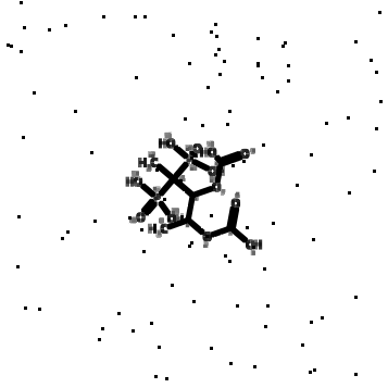 CC(OC(=O)O)C(OC(=O)O)C(C)(P(=O)(O)O)P(=O)(O)O